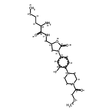 COCC(=O)N1CCN(c2ccc(N3CC(CNC(=O)C(N)CCSC)OC3=O)cc2F)CC1